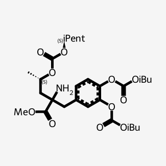 CCC[C@H](C)OC(=O)O[C@@H](C)CC(N)(Cc1ccc(OC(=O)OCC(C)C)c(OC(=O)OCC(C)C)c1)C(=O)OC